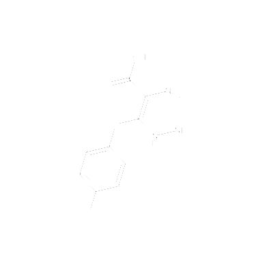 NN/C(Sc1ccc(Br)cc1)=C(\N)C(=O)O